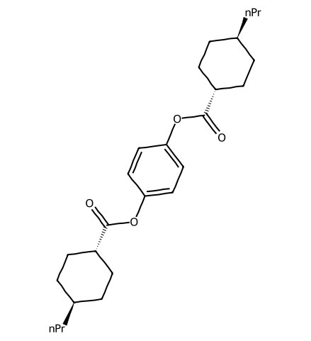 CCC[C@H]1CC[C@H](C(=O)Oc2ccc(OC(=O)[C@H]3CC[C@H](CCC)CC3)cc2)CC1